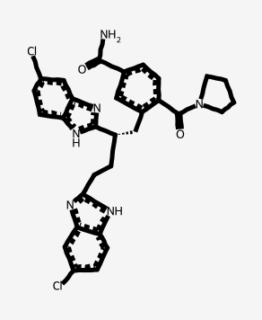 NC(=O)c1ccc(C(=O)N2CCCC2)c(C[C@H](CCc2nc3cc(Cl)ccc3[nH]2)c2nc3cc(Cl)ccc3[nH]2)c1